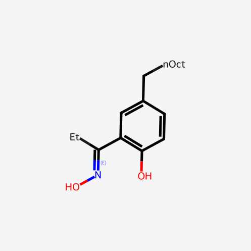 CCCCCCCCCc1ccc(O)c(/C(CC)=N/O)c1